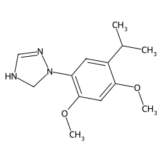 COc1cc(OC)c(N2CNC=N2)cc1C(C)C